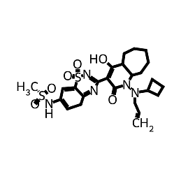 C=CCN(C1CCC1)N1C(=O)C(C2=NS(=O)(=O)C3=CC(NS(C)(=O)=O)=CCC3=N2)=C(O)C2CCCCCC21